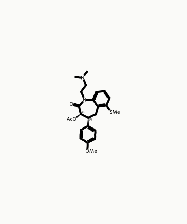 COc1ccc([C@@H]2Cc3c(SC)cccc3N(CCN(C)C)C(=O)[C@@H]2OC(C)=O)cc1